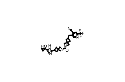 N#Cc1cc(C(F)(F)F)ncc1CC1CC2(C1)CN(C(=O)N1CC3(CC(c4nnc(C5(O)CC5)[nH]4)C3)C1)C2